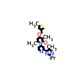 Cc1cc(COc2cc(C)n(-c3ccnc(-c4nc(C(C)C)ncc4C)c3)c(=O)c2C)cs1